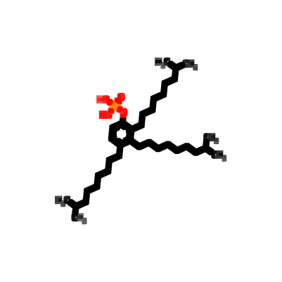 CC(C)CCCCCCCc1ccc(OP(=O)(O)O)c(CCCCCCCC(C)C)c1CCCCCCCC(C)C